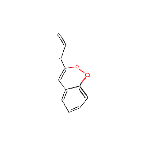 C=C[CH]C1=Cc2ccccc2OO1